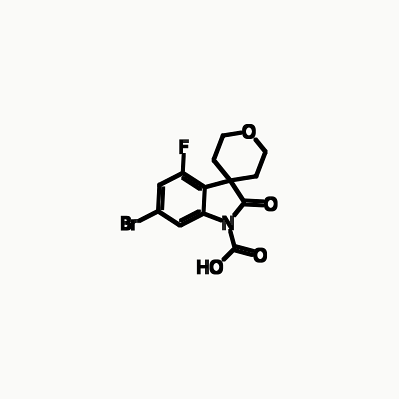 O=C(O)N1C(=O)C2(CCOCC2)c2c(F)cc(Br)cc21